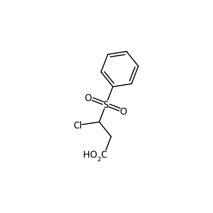 O=C(O)CC(Cl)S(=O)(=O)c1ccccc1